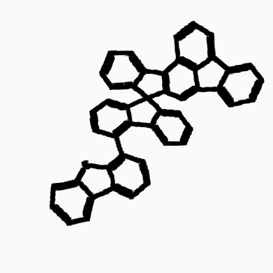 c1ccc2c(c1)-c1cccc3c4c(cc-2c13)C1(c2ccccc2-c2c(-c3cccc5c3sc3ccccc35)cccc21)c1ccccc1-4